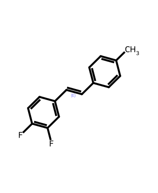 Cc1ccc(/C=C/c2ccc(F)c(F)c2)cc1